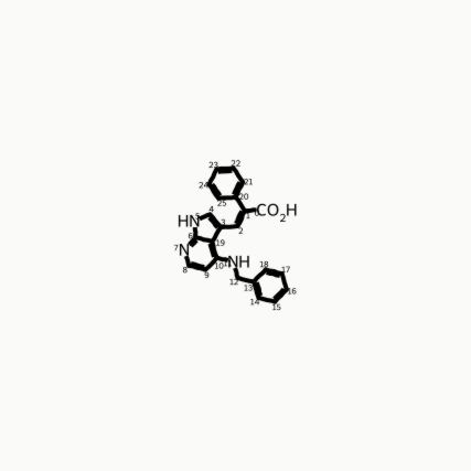 O=C(O)C(=Cc1c[nH]c2nccc(NCc3ccccc3)c12)c1ccccc1